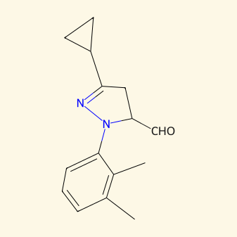 Cc1cccc(N2N=C(C3CC3)CC2C=O)c1C